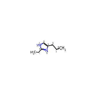 CCCc1c[nH]c(CC)n1